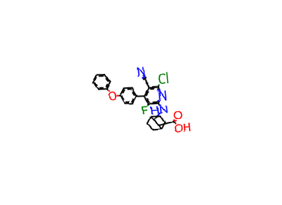 N#Cc1c(Cl)nc(NC2C3CCC(CC3)C2C(=O)O)c(F)c1-c1ccc(Oc2ccccc2)cc1